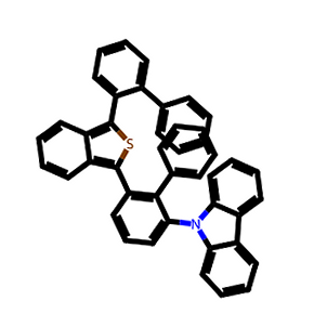 c1ccc(-c2ccccc2-c2sc(-c3cccc(-n4c5ccccc5c5ccccc54)c3-c3ccccc3)c3ccccc23)cc1